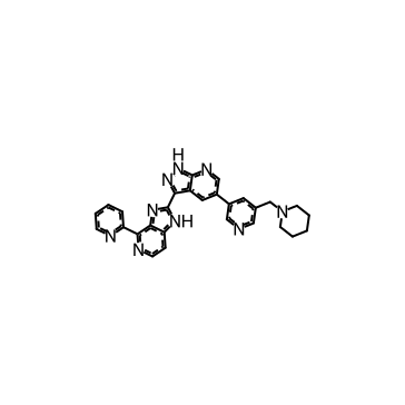 c1ccc(-c2nccc3[nH]c(-c4n[nH]c5ncc(-c6cncc(CN7CCCCC7)c6)cc45)nc23)nc1